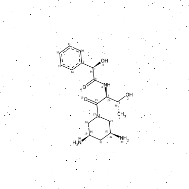 C[C@@H](O)[C@H](NC(=O)[C@H](O)c1ccccc1)C(=O)N1C[C@H](N)C[C@H](N)C1